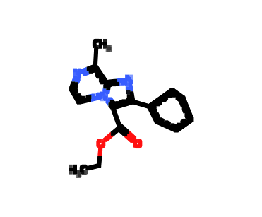 CCOC(=O)c1c(-c2ccccc2)nc2c(C)nccn12